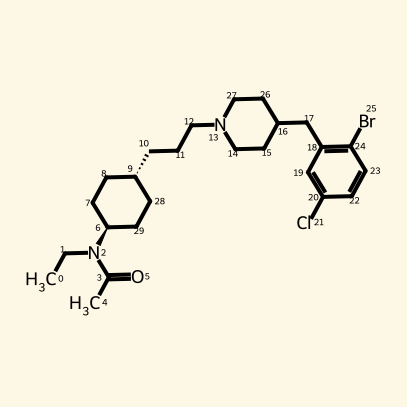 CCN(C(C)=O)[C@H]1CC[C@H](CCCN2CCC(Cc3cc(Cl)ccc3Br)CC2)CC1